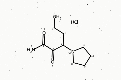 Cl.NCCC(C(=O)C(N)=O)N1CCCC1